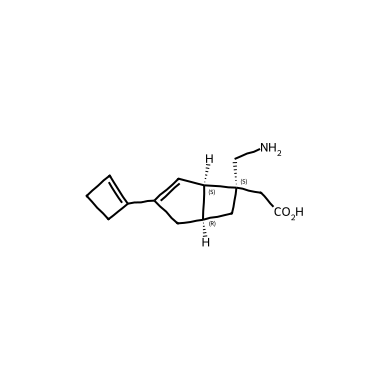 NC[C@]1(CC(=O)O)C[C@H]2CC(C3=CCC3)=C[C@H]21